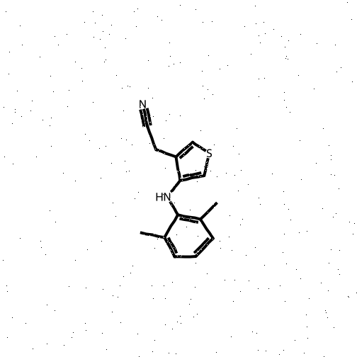 Cc1cccc(C)c1Nc1cscc1CC#N